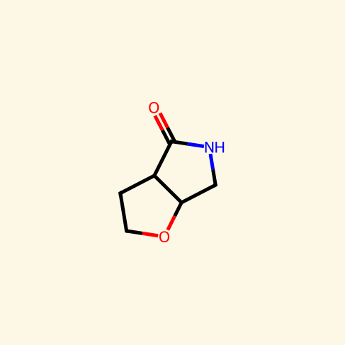 O=C1NCC2OCCC12